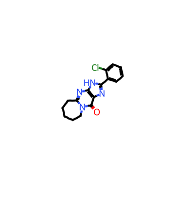 O=c1c2nc(-c3ccccc3Cl)[nH]c2nc2n1CCCCC2